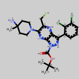 CC1(N)CCN(c2nc3c(nc2CF)c(-c2cccc(Cl)c2Cl)nn3C(=O)OC(C)(C)C)CC1